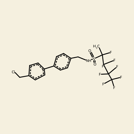 CC(F)(C(F)(F)C(F)(F)C(F)(F)F)S(=O)(=O)NCc1ccc(-c2ccc(CCl)cc2)cc1